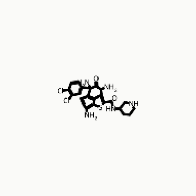 Nc1ccc2c3c(c(C(=O)NC4CCCNC4)sc13)C(N)C(=O)C2(N)c1ccc(Cl)c(Cl)c1